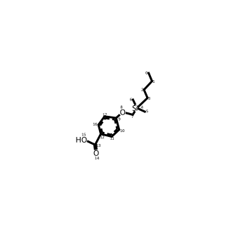 CCCC[Si](C)(C)COc1ccc(C(=O)O)cc1